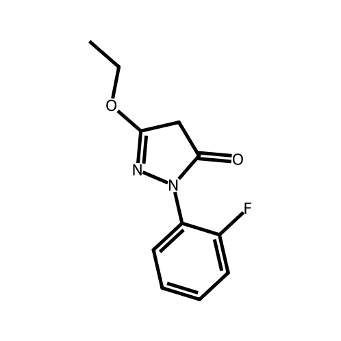 CCOC1=NN(c2ccccc2F)C(=O)C1